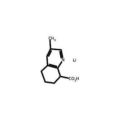 Cc1cnc2c(c1)CCCC2C(=O)O.[Li]